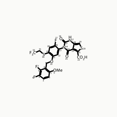 COc1ccc(F)c(F)c1COc1cc(-n2c(=O)[nH]c3csc(C(=O)O)c3c2=O)c(F)cc1SCC(F)(F)F